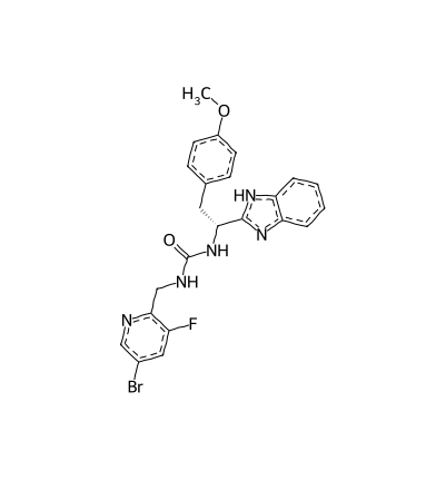 COc1ccc(C[C@@H](NC(=O)NCc2ncc(Br)cc2F)c2nc3ccccc3[nH]2)cc1